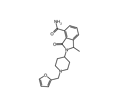 CC1c2cccc(C(N)=O)c2C(=O)N1C1CCN(Cc2ccco2)CC1